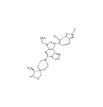 C[C@@H]1OCC2(CCN(c3nc4c(c(-c5ccc6nn(C)cc6c5Cl)cn4CO)c4nccn34)CC2)[C@@H]1N